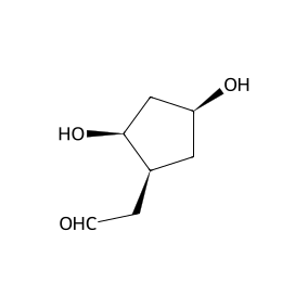 O=CC[C@@H]1C[C@H](O)C[C@@H]1O